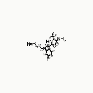 CC(C)(C)[C@H](NC(=O)c1nn(CCCCC#N)c2cc(F)ccc12)C(N)=O